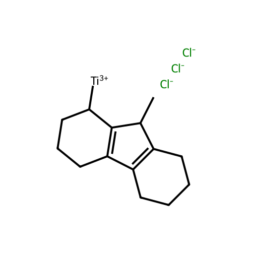 CC1C2=C(CCCC2)C2=C1[CH]([Ti+3])CCC2.[Cl-].[Cl-].[Cl-]